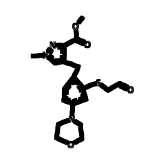 COC(=O)c1nn(C)cc1Cc1ccc(N2CCOCC2)cc1SCC=O